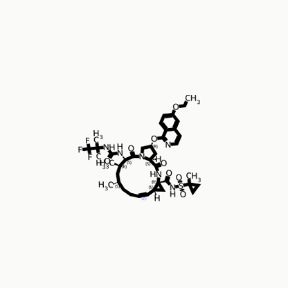 CCOc1ccc2c(O[C@@H]3C[C@H]4C(=O)N[C@]5(C(=O)NS(=O)(=O)C6(C)CC6)C[C@H]5/C=C\CC[C@H](C)C[C@@H](C)[C@H](NC(=O)NC(C)(C)C(F)(F)F)C(=O)N4C3)nccc2c1